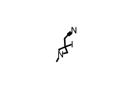 CN1CC(I)(CC#N)C1